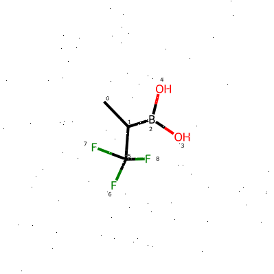 CC(B(O)O)C(F)(F)F